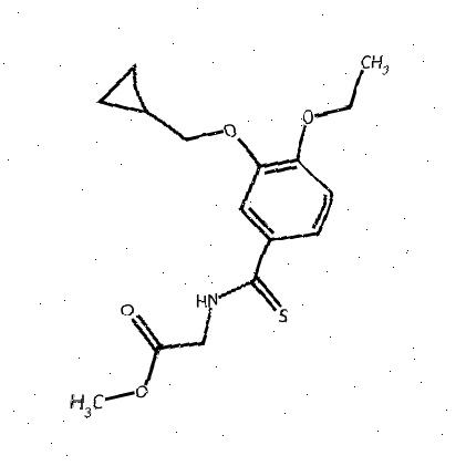 CCOc1ccc(C(=S)NCC(=O)OC)cc1OCC1CC1